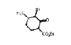 CCOC(=O)C1CCN(C)C(Br)C1=O